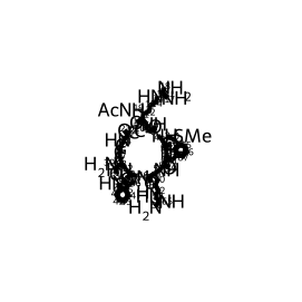 CSCC[C@@H]1NC(=O)C(NC(=O)[C@H](CCCNC(=N)N)NC(C)=O)CCC(=O)NCCCC(C(N)=O)NC(=O)[C@H](Cc2c[nH]c3ccccc23)NC(=O)[C@H](CCCNC(=N)N)NC(=O)C(Cc2ccccc2)NC1=O